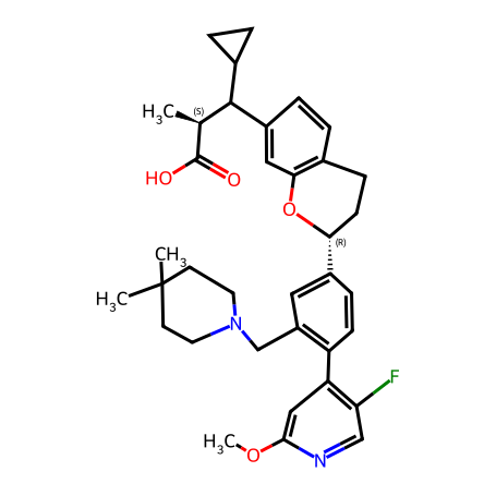 COc1cc(-c2ccc([C@H]3CCc4ccc(C(C5CC5)[C@H](C)C(=O)O)cc4O3)cc2CN2CCC(C)(C)CC2)c(F)cn1